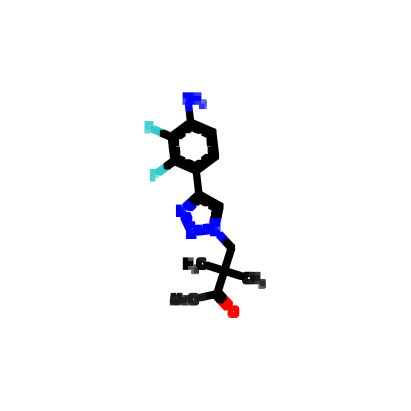 COC(=O)C(C)(C)Cn1cc(-c2ccc(N)c(F)c2F)nn1